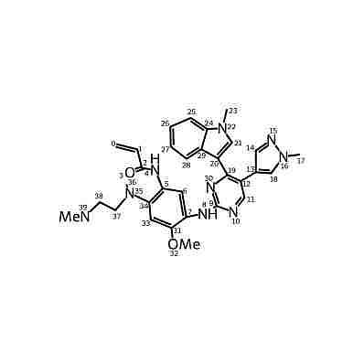 C=CC(=O)Nc1cc(Nc2ncc(-c3cnn(C)c3)c(-c3cn(C)c4ccccc34)n2)c(OC)cc1N(C)CCNC